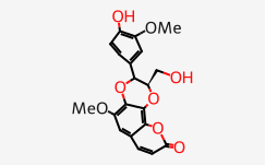 COc1cc(C2Oc3c(OC)cc4ccc(=O)oc4c3O[C@@H]2CO)ccc1O